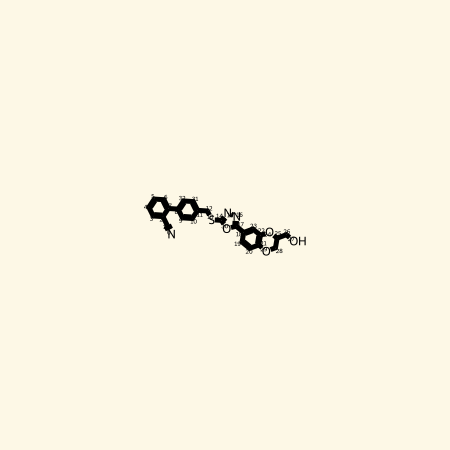 N#Cc1ccccc1-c1ccc(CSc2nnc(-c3ccc4c(c3)OC(CO)CO4)o2)cc1